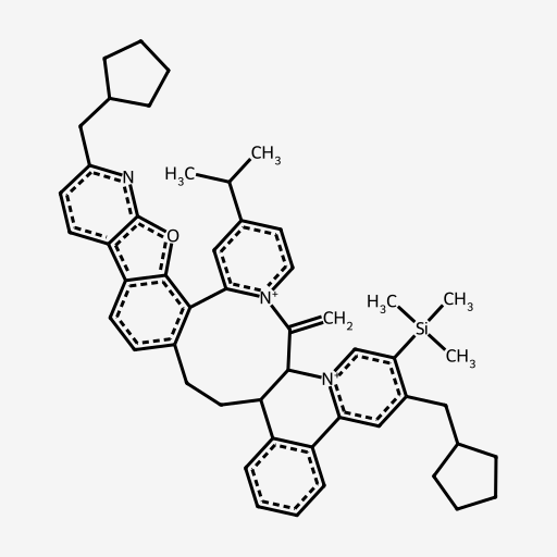 C=C1C2C(CCc3ccc4c(oc5nc(CC6CCCC6)ccc54)c3-c3cc(C(C)C)cc[n+]31)c1ccccc1-c1cc(CC3CCCC3)c([Si](C)(C)C)c[n+]12